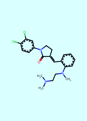 CN(C)CCN(C)c1ccccc1C=C1CCN(c2ccc(Cl)c(Cl)c2)C1=O